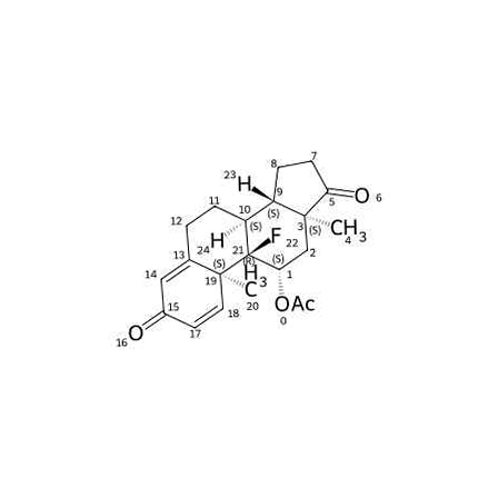 CC(=O)O[C@H]1C[C@]2(C)C(=O)CC[C@H]2[C@@H]2CCC3=CC(=O)C=C[C@]3(C)[C@@]12F